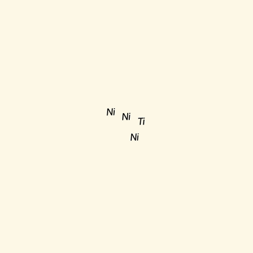 [Ni].[Ni].[Ni].[Ti]